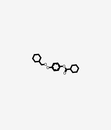 O=C(Oc1ccc(OOCC2CCCCC2)cc1)C1CCCCC1